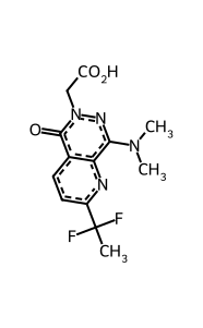 CN(C)c1nn(CC(=O)O)c(=O)c2ccc(C(C)(F)F)nc12